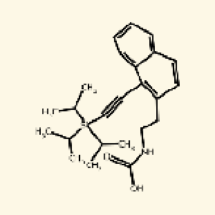 CC(C)[Si](C#Cc1c(CCNC(=O)O)ccc2ccccc12)(C(C)C)C(C)C